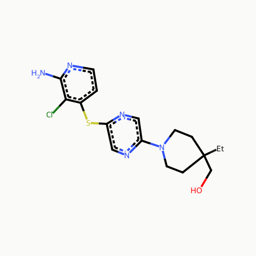 CCC1(CO)CCN(c2cnc(Sc3ccnc(N)c3Cl)cn2)CC1